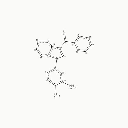 Cc1ccc(-c2cc(C(=O)c3ccccc3)n3ccccc23)cc1N